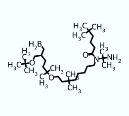 BCC(CCC(C)(C)OCCC(C)(C)CCCCCN(C(=O)CCCC(C)(C)C)C(C)(C)N)COC(C)(C)C